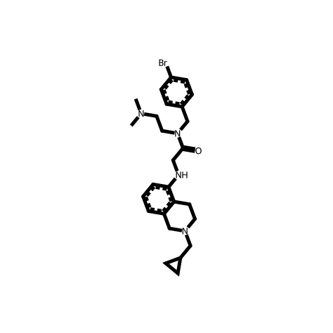 CN(C)CCN(Cc1ccc(Br)cc1)C(=O)CNc1cccc2c1CCN(CC1CC1)C2